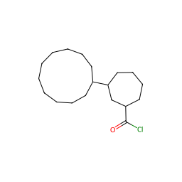 O=C(Cl)C1CCCCC(C2CCCCCCCCCC2)C1